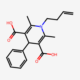 C=CCCN1C(C)=C(C(=O)O)C(c2ccccc2)C(C(=O)O)=C1C